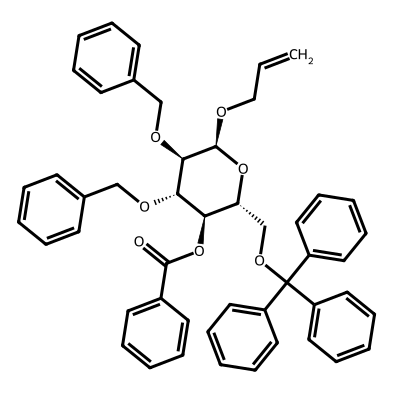 C=CCO[C@H]1O[C@H](COC(c2ccccc2)(c2ccccc2)c2ccccc2)[C@@H](OC(=O)c2ccccc2)[C@H](OCc2ccccc2)[C@H]1OCc1ccccc1